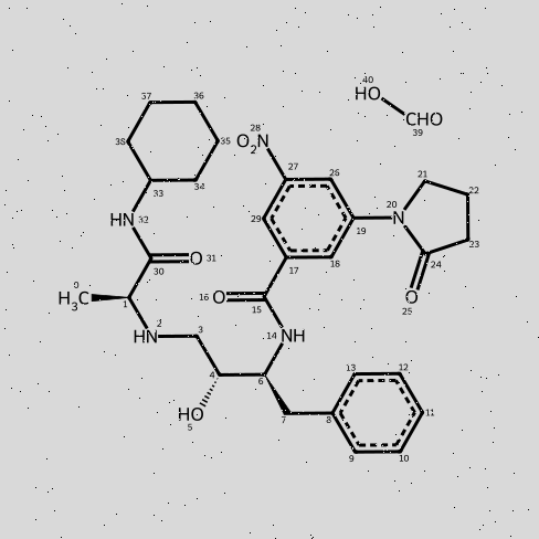 C[C@H](NC[C@@H](O)[C@H](Cc1ccccc1)NC(=O)c1cc(N2CCCC2=O)cc([N+](=O)[O-])c1)C(=O)NC1CCCCC1.O=CO